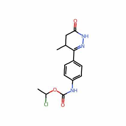 CC(Cl)OC(=O)Nc1ccc(C2=NNC(=O)CC2C)cc1